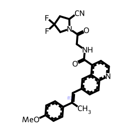 COc1ccc(/C(C)=C/c2ccc3nccc(C(=O)NCC(=O)N4CC(F)(F)CC4C#N)c3c2)cc1